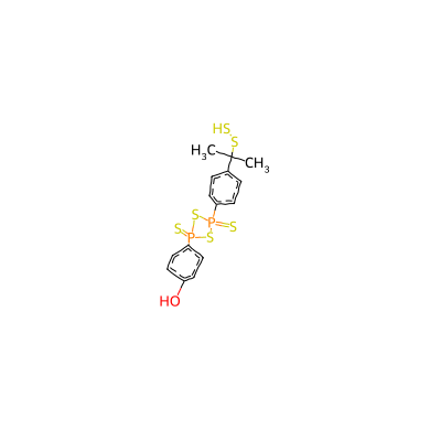 CC(C)(SS)c1ccc(P2(=S)SP(=S)(c3ccc(O)cc3)S2)cc1